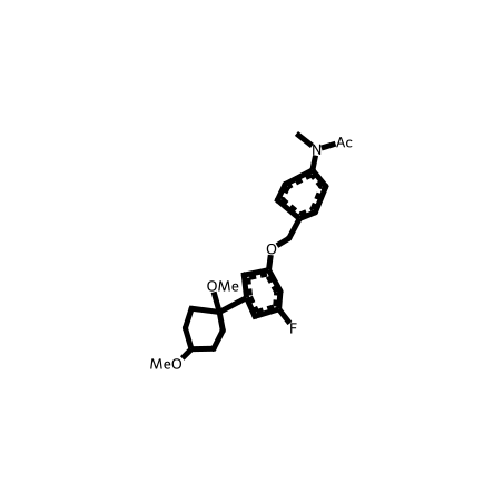 COC1CCC(OC)(c2cc(F)cc(OCc3ccc(N(C)C(C)=O)cc3)c2)CC1